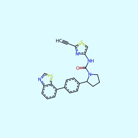 C#Cc1nc(NC(=O)N2CCCC2c2ccc(-c3cccc4ncsc34)cc2)cs1